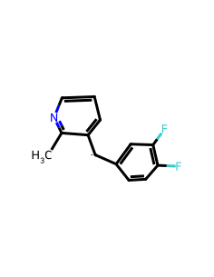 Cc1ncccc1[CH]c1ccc(F)c(F)c1